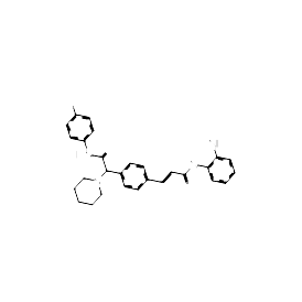 Nc1ccccc1NC(=O)C=Cc1ccc(C(C(=O)Nc2ccc(C(F)(F)F)cc2)N2CCCCC2)cc1